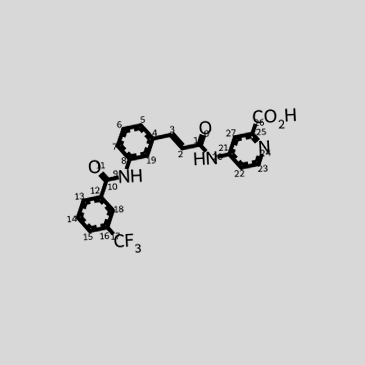 O=C(/C=C/c1cccc(NC(=O)c2cccc(C(F)(F)F)c2)c1)Nc1ccnc(C(=O)O)c1